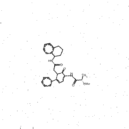 CN[C@@H](C)C(=O)NC1=CC=C(c2ccccc2)C(CC(=O)NC2CCCc3ccccc32)C1=O